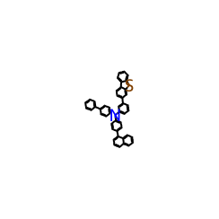 c1ccc(-c2ccc(N(c3ccc(-c4cccc5ccccc45)cc3)c3cccc(-c4ccc5c(c4)sc4ccccc45)c3)cc2)cc1